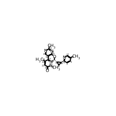 Cc1ccc([C@H]2C[C@@H]2COc2nc(C)ncc2-c2nn(C)c(=O)cc2C)nc1